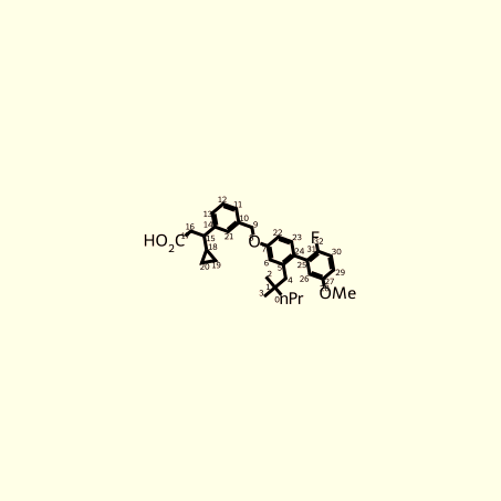 CCCC(C)(C)Cc1cc(OCc2cccc(C(CC(=O)O)C3CC3)c2)ccc1-c1cc(OC)ccc1F